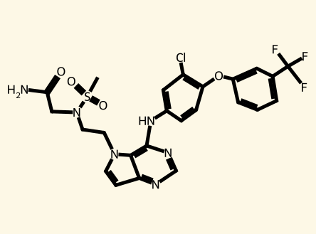 CS(=O)(=O)N(CCn1ccc2ncnc(Nc3ccc(Oc4cccc(C(F)(F)F)c4)c(Cl)c3)c21)CC(N)=O